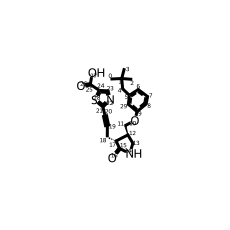 CC(C)(C)Cc1cccc(OC[C@H]2CNC(=O)[C@@H]2CC#Cc2ncc(C(=O)O)s2)c1